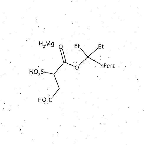 CCCCCC(CC)(CC)OC(=O)C(CC(=O)O)S(=O)(=O)O.[MgH2]